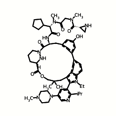 CCn1c(-c2cc(N3CCN(C)CC3)cnc2C(C)C)c2c3cc(ccc31)-c1cc(O)cc(c1)C[C@H](NC(=O)[C@H](C1CCCC1)N(C)C(=O)CN(C)C(=O)[C@H]1CN1)C(=O)N1CCC[C@H](N1)C(=O)OCC(C)(C)C2